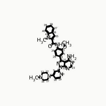 COc1cc(-c2nn(-c3cc(N4CCN(C)CC4)ccn3)c3ncnc(N)c23)ccc1NC(=O)c1cc2ccccc2n1C